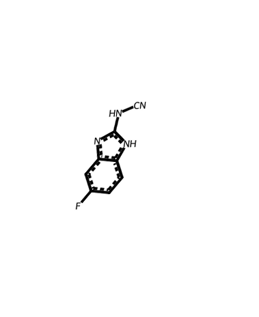 N#CNc1nc2cc(F)ccc2[nH]1